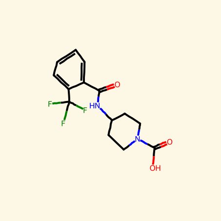 O=C(NC1CCN(C(=O)O)CC1)c1ccccc1C(F)(F)F